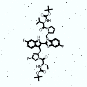 CC[C@H](NC(=O)OC(C)(C)C)C(=O)N1C[C@@H](F)C[C@H]1Cc1c(-c2nc3cc(F)ccc3n2C[C@@H]2CCCN2C(=O)[C@@H](NC(=O)OC(C)(C)C)C(C)C)[nH]c2cc(F)ccc12